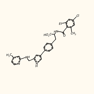 CCc1cc(Cl)cc(C)c1C(=O)NC(Cc1ccc(-c2c[nH]c(CNc3cc(C)ccn3)c2)cc1)C(=O)O